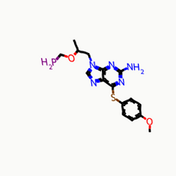 COc1ccc(Sc2nc(N)nc3c2ncn3CC(C)OCP)cc1